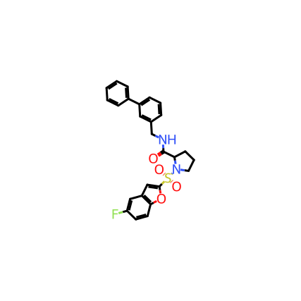 O=C(NCc1cccc(-c2ccccc2)c1)C1CCCN1S(=O)(=O)c1cc2cc(F)ccc2o1